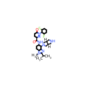 CC(C)c1nc2c(N3C[C@H]4CNC[C@H]4C3)c(NC(=O)c3ccc(=O)n(-c4c(F)cccc4F)n3)ccc2n1C